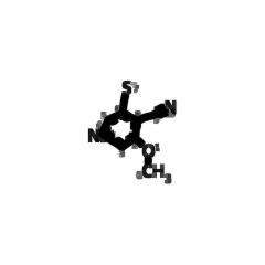 COc1cccc([S-])c1C#N.[Na+]